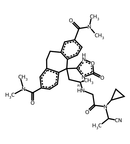 CC(C#N)N(C(=O)CN[C@H](C)CC1(c2nc(=O)o[nH]2)c2ccc(C(=O)N(C)C)cc2CCc2cc(C(=O)N(C)C)ccc21)C1CC1